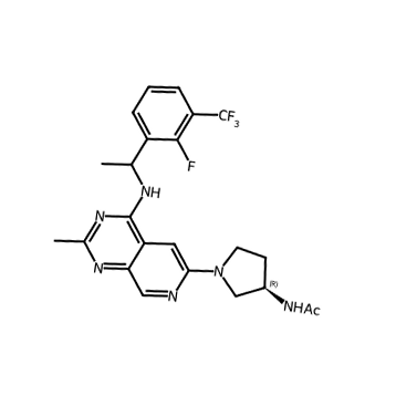 CC(=O)N[C@@H]1CCN(c2cc3c(NC(C)c4cccc(C(F)(F)F)c4F)nc(C)nc3cn2)C1